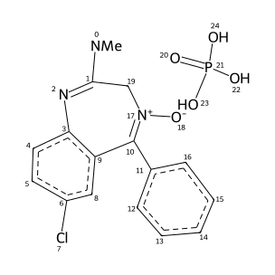 CNC1=Nc2ccc(Cl)cc2C(c2ccccc2)=[N+]([O-])C1.O=P(O)(O)O